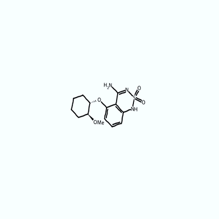 CO[C@H]1CCCC[C@@H]1Oc1cccc2c1C(N)=NS(=O)(=O)N2